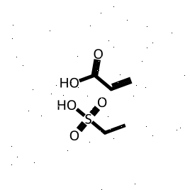 C=CC(=O)O.CCS(=O)(=O)O